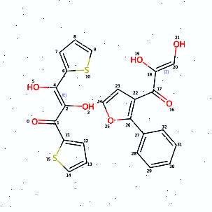 O=C(/C(O)=C(\O)c1cccs1)c1cccs1.O=C(/C(O)=C/O)c1ccoc1-c1ccccc1